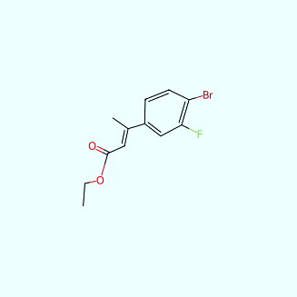 CCOC(=O)C=C(C)c1ccc(Br)c(F)c1